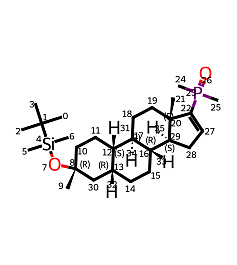 CC(C)(C)[Si](C)(C)O[C@]1(C)CC[C@H]2[C@H](CC[C@@H]3[C@@H]2CC[C@]2(C)C(P(C)(C)=O)=CC[C@@H]32)C1